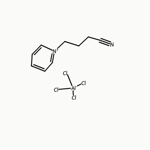 N#CCCC[n+]1ccccc1.[Cl][Al-]([Cl])([Cl])[Cl]